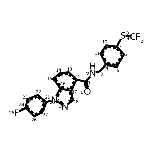 O=C(NCc1ccc(SC(F)(F)F)cc1)c1cccc2c1cnn2-c1ccc(F)cc1